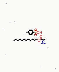 CCCCCCCCCCCCOC(=O)C(C)N(C)C.Cc1ccc(S(=O)(=O)O)cc1